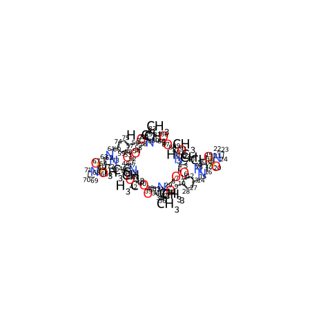 CC(C)C[C@H]1C(=O)O[C@H](Cc2ccc(Cn3cc(S(=O)(=O)N4CCC4)cn3)cc2)C(=O)N(C)[C@@H](CC(C)C)C(=O)O[C@H](C)C(=O)N(C)[C@@H](CC(C)C)C(=O)O[C@H](Cc2ccc(Cn3cc(S(=O)(=O)N4CCC4)cn3)cc2)C(=O)N(C)[C@@H](CC(C)C)C(=O)O[C@H](C)C(=O)N1C